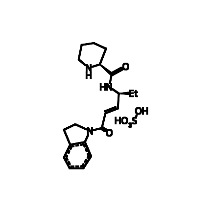 CC[C@@H](/C=C/C(=O)N1CCc2ccccc21)NC(=O)[C@@H]1CCCCN1.O=S(=O)(O)O